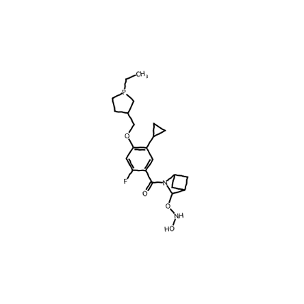 CCP1CCC(COc2cc(F)c(C(=O)N3C4CC(C4)C3ONO)cc2C2CC2)C1